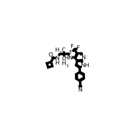 CC(C)(CNC(=O)C1CCC1)CNc1c(C(F)(F)F)cnc2[nH]c(-c3ccc(C#N)cc3)cc12